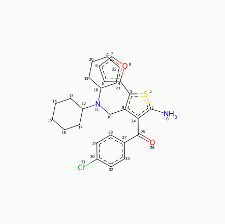 Nc1sc(-c2ccco2)c(CN(C2CCCCC2)C2CCCCC2)c1C(=O)c1ccc(Cl)cc1